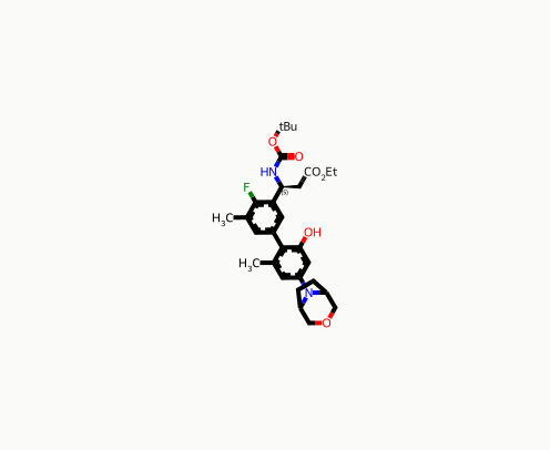 CCOC(=O)C[C@H](NC(=O)OC(C)(C)C)c1cc(-c2c(C)cc(N3C4CCC3COC4)cc2O)cc(C)c1F